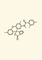 Cc1ccc(C(=O)N(C)c2cc3c(cc2C)Oc2cc(C)ccc2C32OC(=O)c3ccccc32)c(C)c1